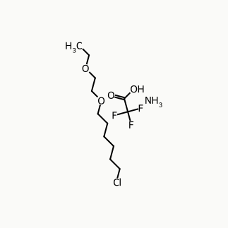 CCOCCOCCCCCCCl.N.O=C(O)C(F)(F)F